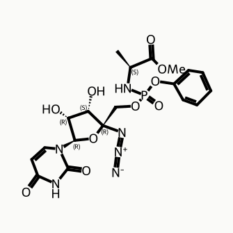 COC(=O)[C@H](C)NP(=O)(OC[C@@]1(N=[N+]=[N-])O[C@@H](n2ccc(=O)[nH]c2=O)[C@H](O)[C@@H]1O)Oc1ccccc1